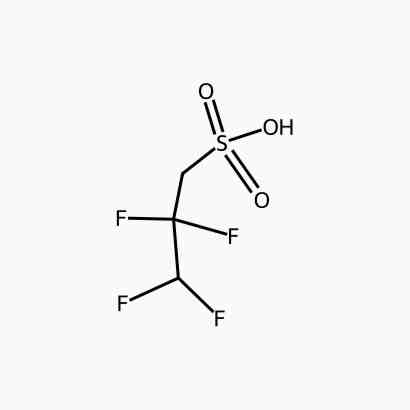 O=S(=O)(O)CC(F)(F)C(F)F